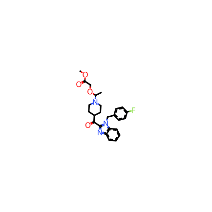 COC(=O)COC(C)N1CCC(C(=O)c2nc3ccccc3n2Cc2ccc(F)cc2)CC1